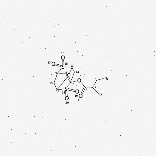 CCC(C)C(=O)OC12CC3CC(CC(C1)S3(=O)=O)S2(=O)=O